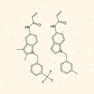 C=CC(=O)Nc1ccc2c(c1)c(C)c(C)n2Cc1cccc(C(F)(F)F)c1.C=CC(=O)Nc1ccc2c(ccn2Cc2cccc(C)c2)c1